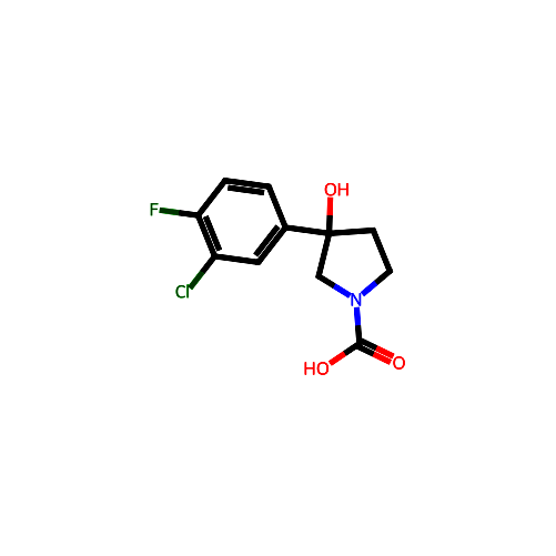 O=C(O)N1CCC(O)(c2ccc(F)c(Cl)c2)C1